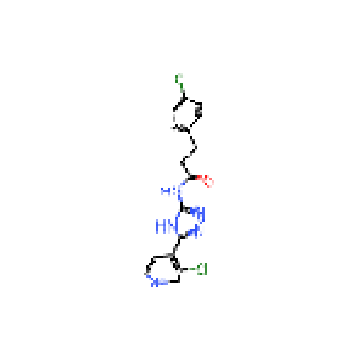 O=C(CCc1ccc(Cl)cc1)Nc1nnc(-c2ccncc2Cl)[nH]1